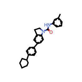 Cc1cccc(NC(=O)N2CCc3cc(-c4ccc(C5CCCCC5)cc4)ccc32)c1